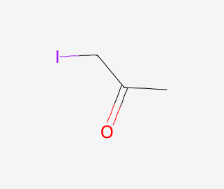 CC(=O)CI